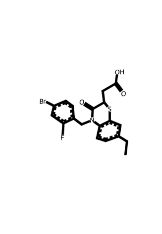 CCc1ccc2c(c1)SC(CC(=O)O)C(=O)N2Cc1ccc(Br)cc1F